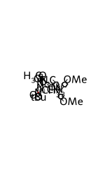 COc1ccc(CN(Cc2ccc(OC)cc2)c2ccc(C(F)(F)F)c(C3Cc4nc(S(C)(=O)=O)nc(N5CCN(C(=O)OC(C)(C)C)C[C@@H]5C)c4CC3C)n2)cc1